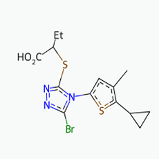 CCC(Sc1nnc(Br)n1-c1cc(C)c(C2CC2)s1)C(=O)O